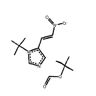 CC(C)(C)OC=O.CC(C)(C)n1cncc1/C=C/[N+](=O)[O-]